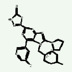 CC1CCC(Cn2c(N3CCC[C@H]3C(F)(F)F)nc3nc(-c4n[nH]c(=O)o4)nc(-c4cncc(Cl)c4)c32)CC1